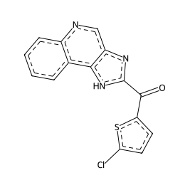 O=C(c1nc2cnc3ccccc3c2[nH]1)c1ccc(Cl)s1